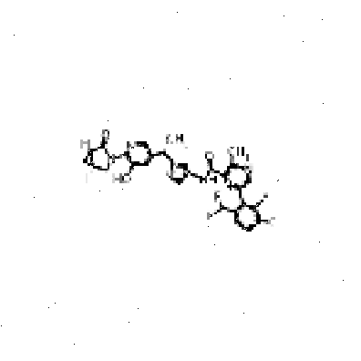 Cc1ncc(-c2c(C(F)F)ccc(Cl)c2F)nc1C(=O)Nc1cnn([C@@H](C)c2cnc(N3C[C@H]4C[C@H]4C3=O)c(O)c2)c1